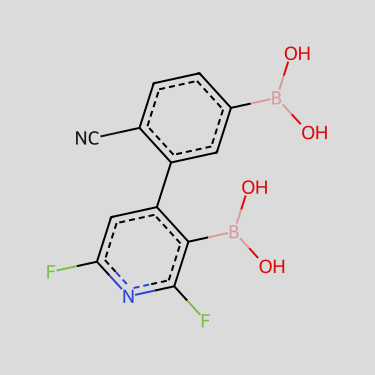 N#Cc1ccc(B(O)O)cc1-c1cc(F)nc(F)c1B(O)O